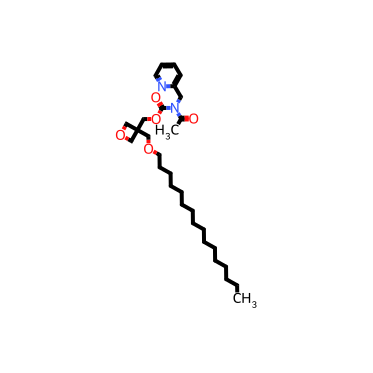 CCCCCCCCCCCCCCCCOCC1(COC(=O)N(Cc2ccccn2)C(C)=O)COC1